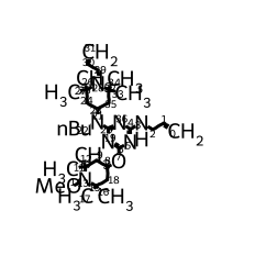 C=CCNc1nc(OC2CC(C)(C)N(OC)C(C)(C)C2)nc(N(CCCC)C2CC(C)(C)N(CC=C)C(C)(C)C2)n1